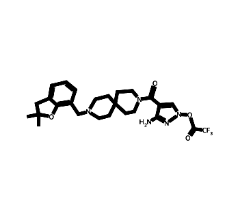 CC1(C)Cc2cccc(CN3CCC4(CC3)CCN(C(=O)c3cn(OC(=O)C(F)(F)F)nc3N)CC4)c2O1